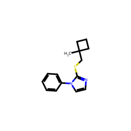 [CH2]C1(CSc2nccn2-c2ccccc2)CCC1